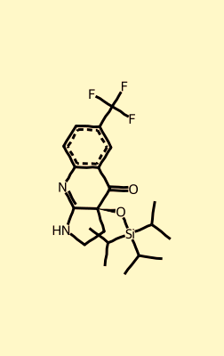 CC(C)[Si](O[C@@]12CCNC1=Nc1ccc(C(F)(F)F)cc1C2=O)(C(C)C)C(C)C